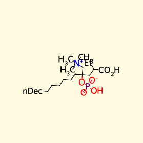 CCCCCCCCCCCCCCCC[C@](CC(CC)C(=O)O)(C[N+](C)(C)C)OP(=O)([O-])O